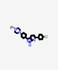 CC(C)N1CCN(c2ccc(-c3n[nH]c4nc(-c5ccc(Cl)cc5)ccc34)cc2)CC1